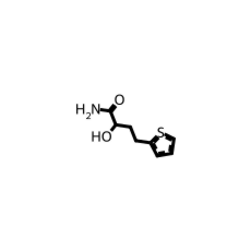 NC(=O)C(O)CCc1cccs1